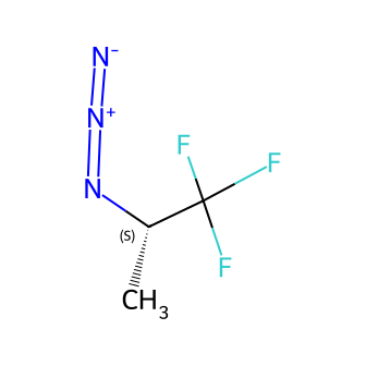 C[C@H](N=[N+]=[N-])C(F)(F)F